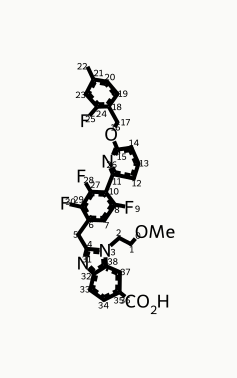 COCCn1c(Cc2cc(F)c(-c3cccc(OCc4ccc(C)cc4F)n3)c(F)c2F)nc2ccc(C(=O)O)cc21